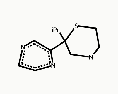 CC(C)C1(c2cnccn2)C[N]CCS1